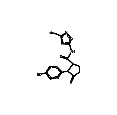 CC(C)(C)c1cc(NC(=O)C2CCC(=O)N2c2ccc(C#N)cn2)on1